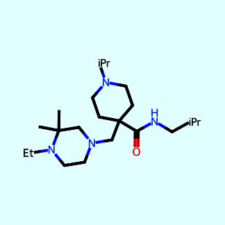 CCN1CCN(CC2(C(=O)NCC(C)C)CCN(C(C)C)CC2)CC1(C)C